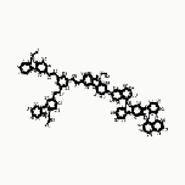 CCn1c2ccccc2c2cc(/C=C/c3cc(/C=C/c4ccc5c(c4)c4ccccc4n5CC)cc(/C=C/c4ccc5c(c4)c4ccc(-c6ccc7c(-n8c9ccccc9c9cc%10c(cc98)c8ccccc8n%10-c8cccc9ccccc89)cccc7c6)cc4n5CC)c3)ccc21